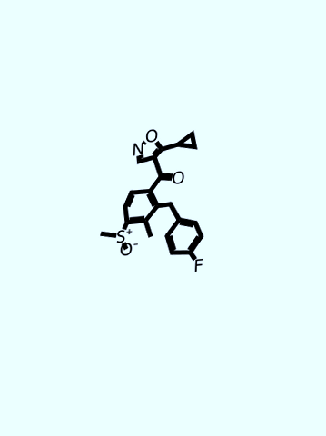 Cc1c([S+](C)[O-])ccc(C(=O)c2cnoc2C2CC2)c1Cc1ccc(F)cc1